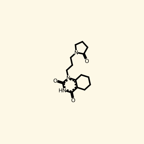 O=C1CCCN1CCCn1c2c(c(=O)[nH]c1=O)CCCC2